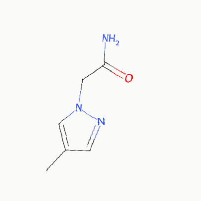 Cc1cnn(CC(N)=O)c1